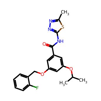 Cc1nnc(NC(=O)c2cc(OCc3ccccc3F)cc(OC(C)C)c2)s1